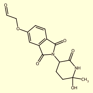 CC1(O)CCC(N2C(=O)c3ccc(OCC=O)cc3C2=O)C(=O)N1